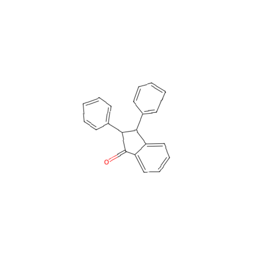 O=C1c2ccccc2C(c2ccccc2)C1c1ccccc1